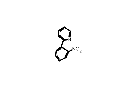 O=[N+]([O-])c1ccccc1-c1bcccc1